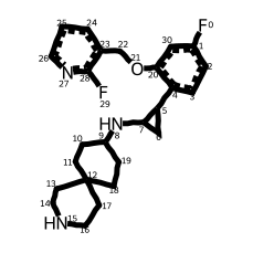 Fc1ccc(C2CC2NC2CCC3(CCNCC3)CC2)c(OCc2cccnc2F)c1